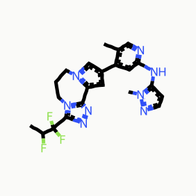 Cc1cnc(Nc2ccnn2C)cc1-c1cc2n(c1)CCCn1c-2nnc1C(F)(F)C(C)F